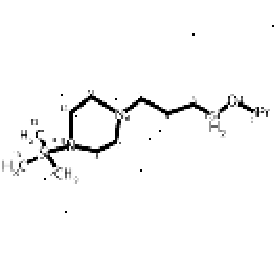 CC(C)O[SiH2]CCCN1CCN([Si](C)(C)C)CC1